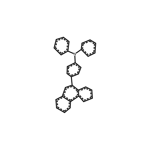 c1ccc(N(c2ccccc2)c2ccc(-c3cc4ccccc4c4ccccc34)cc2)cc1